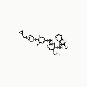 Cc1cnc(Nc2cnc(N3CC4CC3CN4CC3CC3)c(F)c2)nc1Nn1c(=O)oc2ccccc21